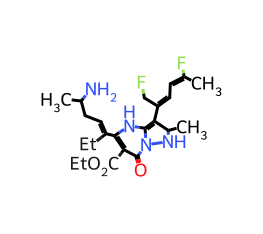 CCOC(=O)C1=C(/C(=C/CC(C)N)CC)NC2=C(/C(=C/C=C(\C)F)CF)C(C)NN2C1=O